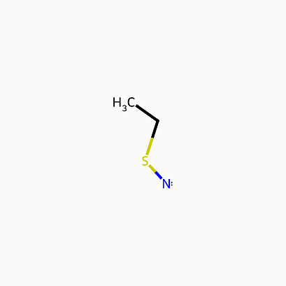 CCS[N]